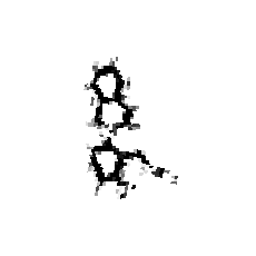 NCc1c(Br)cccc1N1C=Cc2ccccc2C1